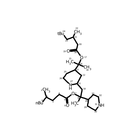 CCCCC(C)CCC(=O)OC(C)(CC1CC(C(C)(C)OC(=O)CC(C)CC(C)(C)C)CCN1)C1CCNCC1